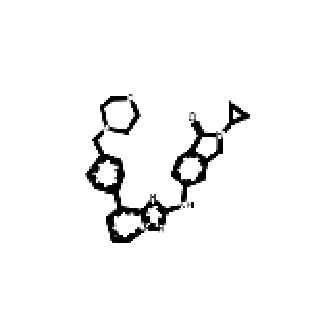 O=C1c2ccc(Nc3nc4c(-c5ccc(CN6CCOCC6)cc5)cccn4n3)cc2CN1C1CC1